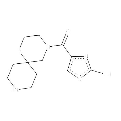 Cc1nc(C(=O)N2CCOC3(CCNCC3)C2)cs1